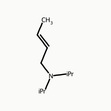 CC=CCN(C(C)C)C(C)C